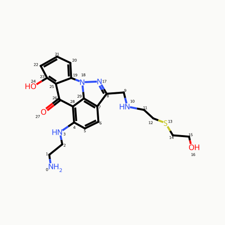 NCCNc1ccc2c(CNCCSCCO)nn3c4cccc(O)c4c(=O)c1c23